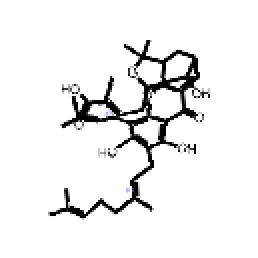 CC(C)=CCC/C(C)=C/Cc1c(O)c(CC=C(C)C)c2c(c1O)C(=O)C1=CC3CC4C(C)(C)OC(C/C=C(\C)C(=O)O)(C3O)C14O2